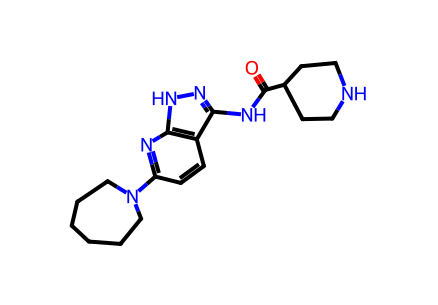 O=C(Nc1n[nH]c2nc(N3CCCCCC3)ccc12)C1CCNCC1